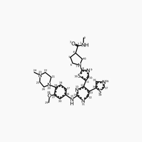 CNC(=O)C1CCN(c2ncc(-c3nc(Nc4ccc(N5CCN(C)CC5)c(OC)c4)ncc3-c3cncs3)s2)C1